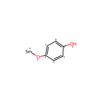 Oc1ccc([O][Sm])cc1